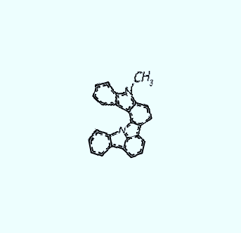 Cn1c2ccccc2c2c1ccc1c3cccc4c5ccccc5n(c43)c12